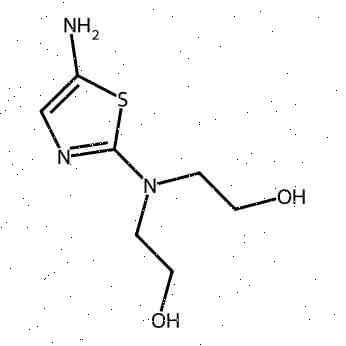 Nc1cnc(N(CCO)CCO)s1